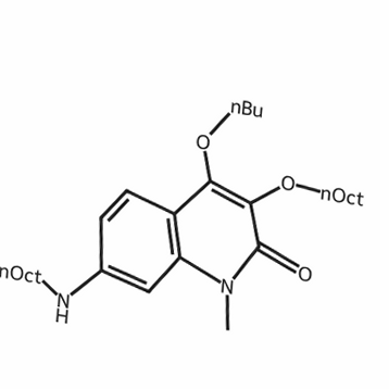 CCCCCCCCNc1ccc2c(OCCCC)c(OCCCCCCCC)c(=O)n(C)c2c1